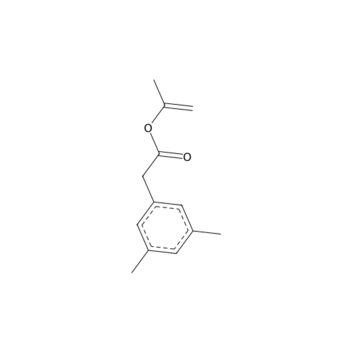 C=C(C)OC(=O)Cc1cc(C)cc(C)c1